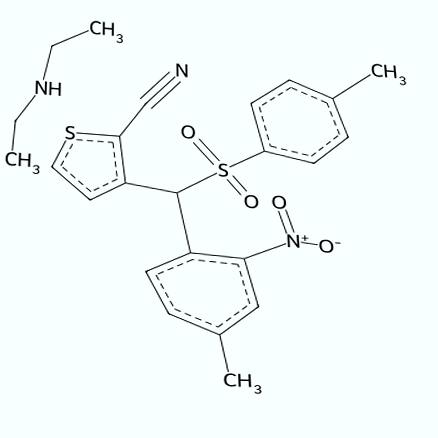 CCNCC.Cc1ccc(S(=O)(=O)C(c2ccc(C)cc2[N+](=O)[O-])c2ccsc2C#N)cc1